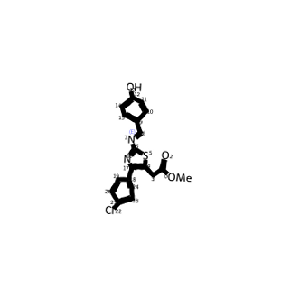 COC(=O)Cc1sc(/N=C/c2ccc(O)cc2)nc1-c1ccc(Cl)cc1